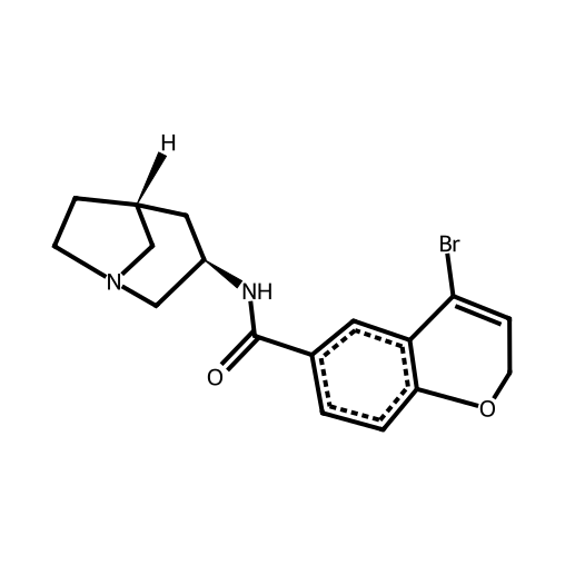 O=C(N[C@@H]1C[C@H]2CCN(C2)C1)c1ccc2c(c1)C(Br)=CCO2